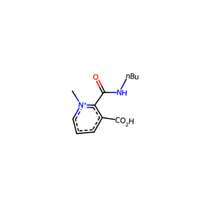 CCCCNC(=O)c1c(C(=O)O)ccc[n+]1C